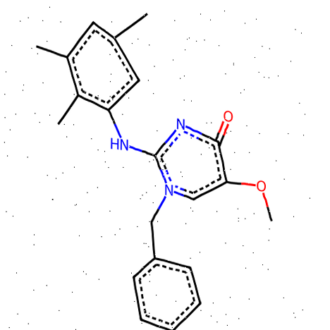 COc1cn(Cc2ccccc2)c(Nc2cc(C)cc(C)c2C)nc1=O